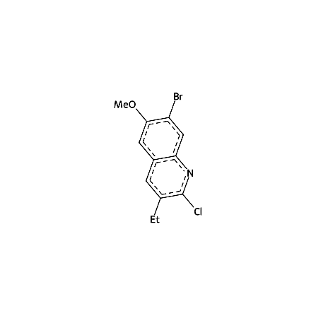 CCc1cc2cc(OC)c(Br)cc2nc1Cl